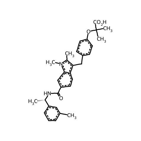 Cc1cccc([C@H](C)NC(=O)c2ccc3c(Cc4ccc(OC(C)(C)C(=O)O)cc4)c(C)n(C)c3c2)c1